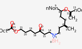 BN(CCC(=C)CCC(CCCCCCCCC)OC(=C)CCCCCCCC)CCC(=O)CCCCOC(=O)CCCCCCCC